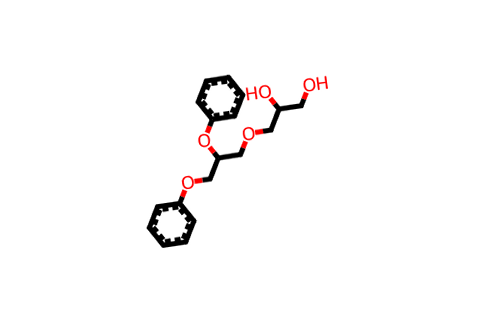 OCC(O)COCC(COc1ccccc1)Oc1ccccc1